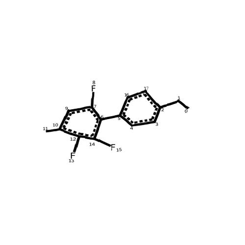 CCc1ccc(-c2c(F)cc(C)c(F)c2F)cc1